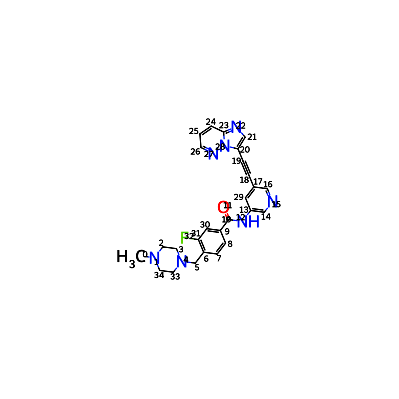 CN1CCN(Cc2ccc(C(=O)Nc3cncc(C#Cc4cnc5cccnn45)c3)cc2F)CC1